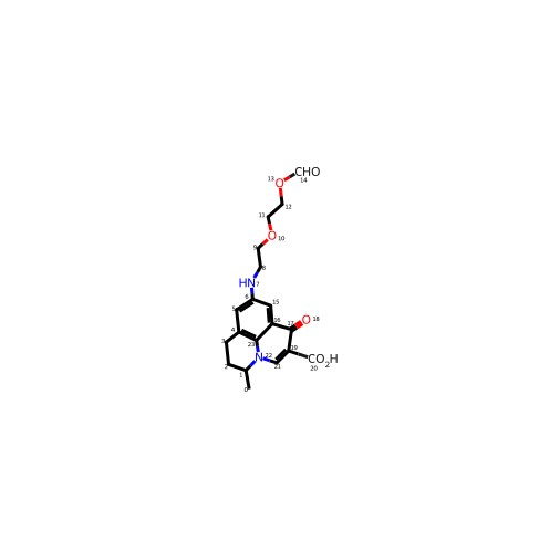 CC1CCc2cc(NCCOCCOC=O)cc3c(=O)c(C(=O)O)cn1c23